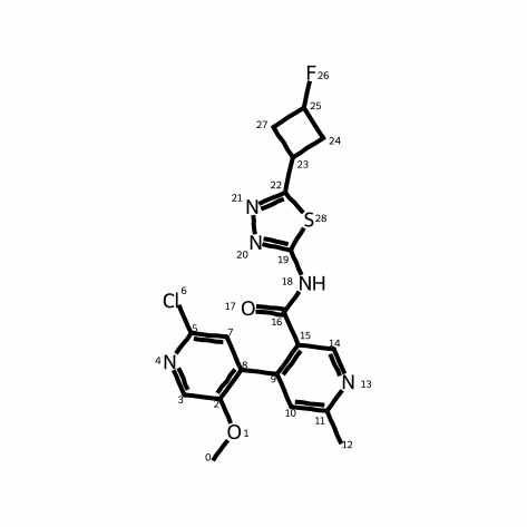 COc1cnc(Cl)cc1-c1cc(C)ncc1C(=O)Nc1nnc(C2CC(F)C2)s1